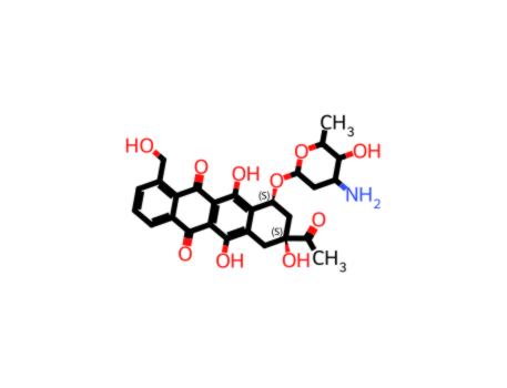 CC(=O)[C@]1(O)Cc2c(O)c3c(c(O)c2[C@@H](OC2CC(N)C(O)C(C)O2)C1)C(=O)c1c(CO)cccc1C3=O